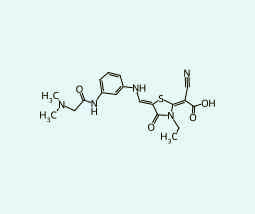 CCn1c(=C(C#N)C(=O)O)sc(=CNc2cccc(NC(=O)CN(C)C)c2)c1=O